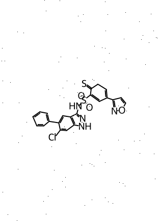 O=S(=O)(Nc1n[nH]c2cc(Cl)c(-c3ccccc3)cc12)C1=CC(c2ccon2)=CCC1=S